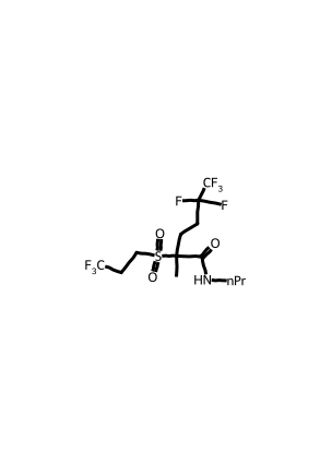 CCCNC(=O)C(C)(CCC(F)(F)C(F)(F)F)S(=O)(=O)CCC(F)(F)F